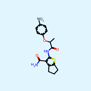 CC(Oc1ccc([N+](=O)[O-])cc1)C(=O)Nc1sc2c(c1C(N)=O)CCC2